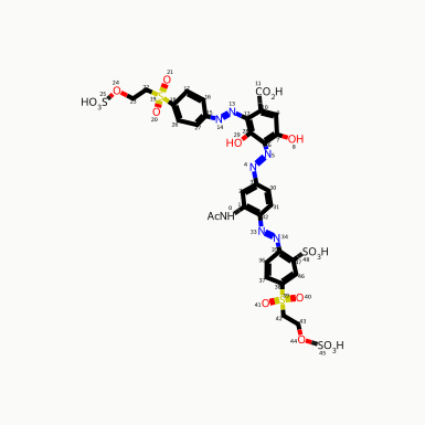 CC(=O)Nc1cc(N=Nc2c(O)cc(C(=O)O)c(N=Nc3ccc(S(=O)(=O)CCOS(=O)(=O)O)cc3)c2O)ccc1N=Nc1ccc(S(=O)(=O)CCOS(=O)(=O)O)cc1S(=O)(=O)O